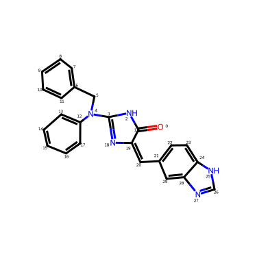 O=C1NC(N(Cc2ccccc2)c2ccccc2)=NC1=Cc1ccc2[nH]cnc2c1